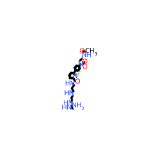 CC(=O)NC[C@H]1CN(c2ccc(-c3cccc(C(=O)NCCCNCCCNC4(N)CN4)n3)c(F)c2)C(=O)O1